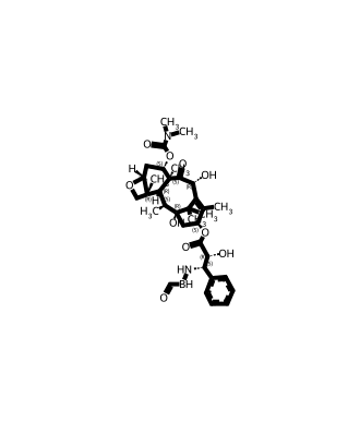 CC1=C2[C@@H](O)C(=O)[C@]3(C)[C@@H](OC(=O)N(C)C)C[C@H]4OC[C@@]4(C)[C@H]3[C@H](C)[C@](O)(C[C@@H]1OC(=O)[C@H](O)[C@@H](NBC=O)c1ccccc1)C2(C)C